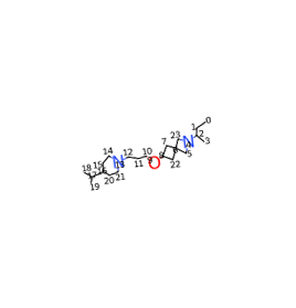 CCC(C)N1CC2(CC(OCCCN3CCC(C(C)C)CC3)C2)C1